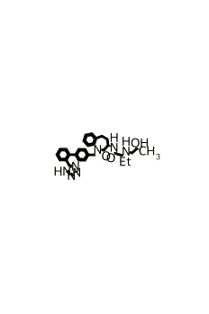 CCC(NC[C@@H](C)O)C(=O)N[C@@H]1CCc2ccccc2N(Cc2ccc(-c3ccccc3-c3nnn[nH]3)cc2)C1=O